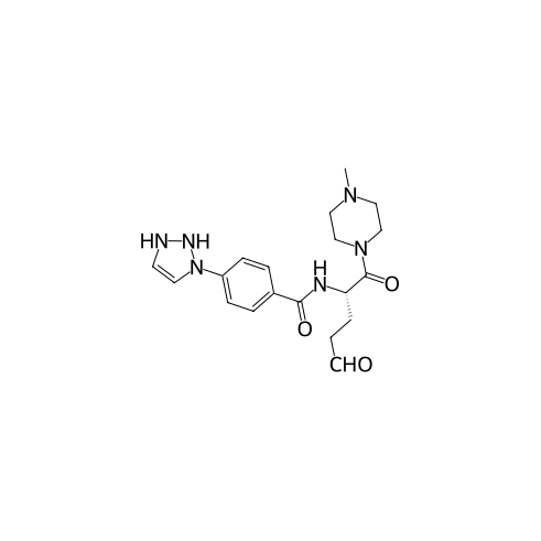 CN1CCN(C(=O)[C@H](CCC=O)NC(=O)c2ccc(N3C=CNN3)cc2)CC1